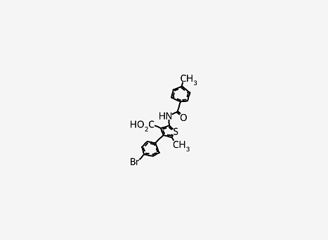 Cc1ccc(C(=O)Nc2sc(C)c(-c3ccc(Br)cc3)c2C(=O)O)cc1